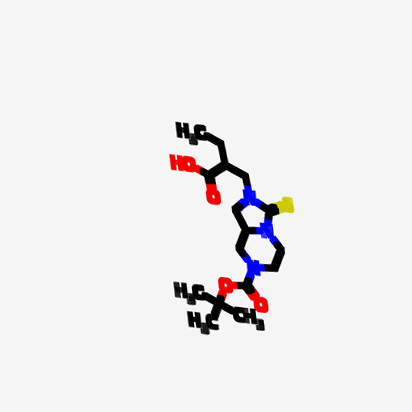 CCC(CN1CC2CN(C(=O)OC(C)(C)C)CCN2C1=S)C(=O)O